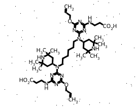 C=CCOc1nc(NCCC(=O)O)nc(N(CCCCCCN(c2nc(NCCC(=O)O)nc(OCC=C)n2)C2CC(C)(C)NC(C)(C)C2)C2CC(C)(C)NC(C)(C)C2)n1